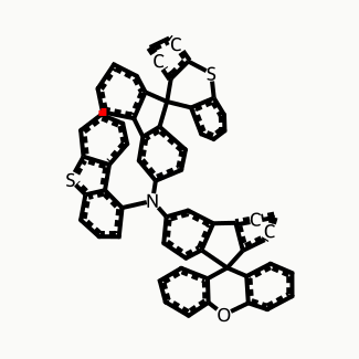 c1ccc2c(c1)Oc1ccccc1C21c2ccccc2-c2cc(N(c3ccc4c(c3)-c3ccccc3C43c4ccccc4Sc4ccccc43)c3cccc4sc5ccccc5c34)ccc21